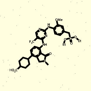 CCOP(=O)(Cc1ccc(Nc2ncc(C(F)(F)F)c(Nc3ccc(C4CCC(C(=O)O)CC4)c4c3C(=O)N(C)C4)n2)c(OC)c1)OCC